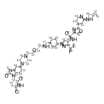 Cn1c(=O)n(C2CCC(=O)NC2=O)c2ccc(N3CCN(CCOCCNCc4ccc(-n5cc(NC(=O)c6coc(-c7ccnc(NCC8CC8)c7)n6)c(C(F)F)n5)cc4)CC3)cc21